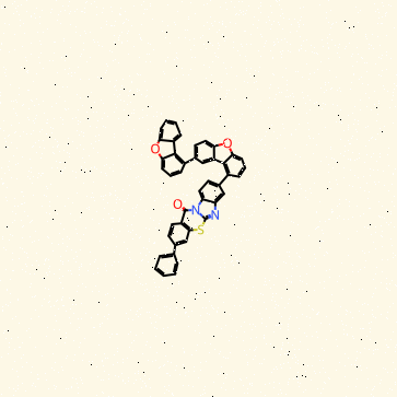 O=c1c2ccc(-c3ccccc3)cc2sc2nc3cc(-c4cccc5oc6ccc(-c7cccc8oc9ccccc9c78)cc6c45)ccc3n12